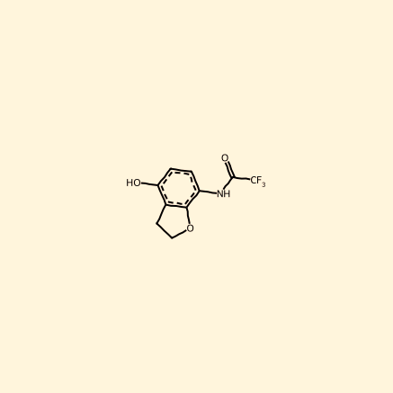 O=C(Nc1ccc(O)c2c1OCC2)C(F)(F)F